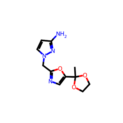 CC1(c2cnc(Cn3ccc(N)n3)o2)OCCO1